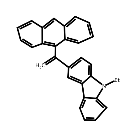 C=C(c1ccc2c(c1)c1ccccc1n2CC)c1c2ccccc2cc2ccccc12